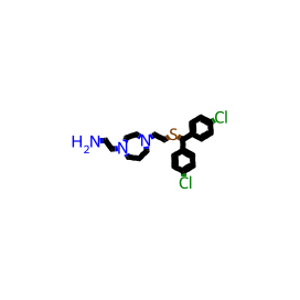 NCCN1CCCN(CCSC(c2ccc(Cl)cc2)c2ccc(Cl)cc2)CC1